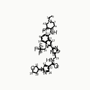 CCN1CC[C@@H](Nc2cccc3c2cc(-c2noc(CNC(=O)c4cnn(C5CCOC5)c4)n2)n3CC(F)(F)F)[C@@H](F)C1